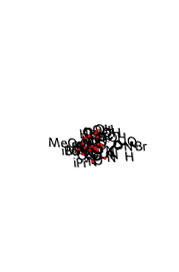 CC[C@H](C)[C@@H]([C@@H](CC(=O)N1CCC[C@H]1[C@H](OC)[C@@H](C)C(=O)N[C@H](C)[C@@H](O)c1ccccc1)OC)N(C)C(=O)[C@@H](NC(=O)[C@H](C(C)C)N(C)C(=O)OC(Cc1cn(Cc2ccc(CNC(=O)CBr)cc2)nn1)c1ccc(OC2O[C@H](CO)[C@H](O)[C@H](O)[C@H]2O)c([N+](=O)[O-])c1)C(C)C